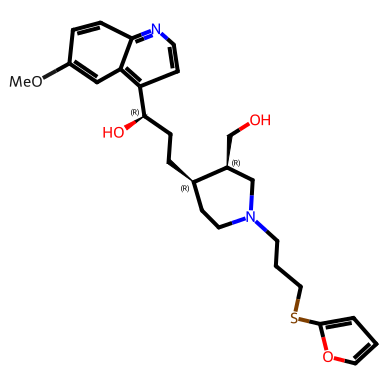 COc1ccc2nccc([C@H](O)CC[C@@H]3CCN(CCCSc4ccco4)C[C@@H]3CO)c2c1